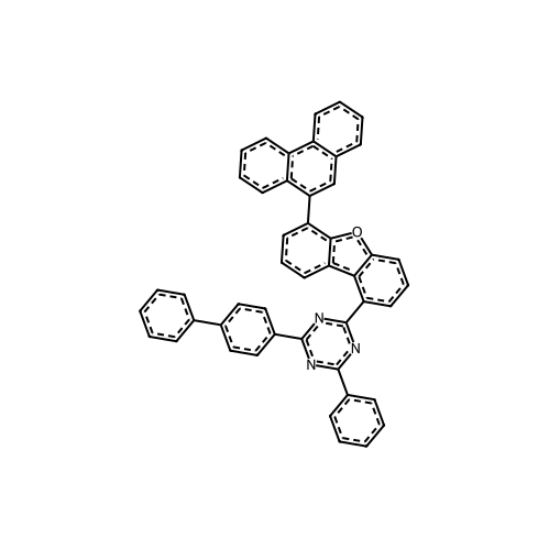 c1ccc(-c2ccc(-c3nc(-c4ccccc4)nc(-c4cccc5oc6c(-c7cc8ccccc8c8ccccc78)cccc6c45)n3)cc2)cc1